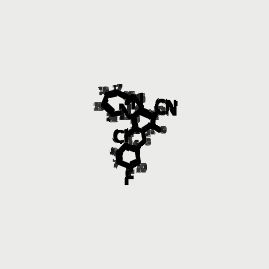 Cc1c(Cc2cccc(F)c2)c(Cl)c2c(nc3ccccn32)c1C#N